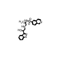 C[C@H](CNCC(O)c1nsc2ccccc12)NS(=O)(=O)c1ccc2cnccc2c1